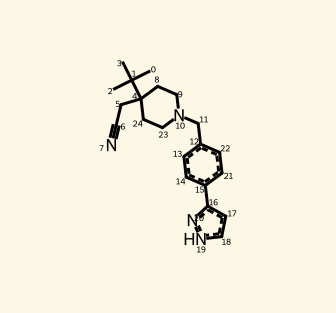 CC(C)(C)C1(CC#N)CCN(Cc2ccc(-c3cc[nH]n3)cc2)CC1